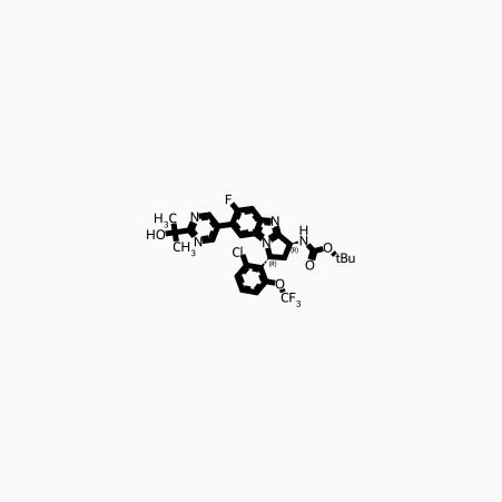 CC(C)(C)OC(=O)N[C@@H]1C[C@H](c2c(Cl)cccc2OC(F)(F)F)n2c1nc1cc(F)c(-c3cnc(C(C)(C)O)nc3)cc12